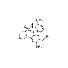 COc1nc(C)cnc1NS(=O)(=O)c1ccccc1-c1ccc(CC(C)C)c(N)c1